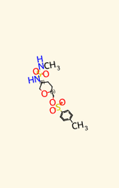 CNS(=O)(=O)N[C@@H]1CC[C@@H](COS(=O)(=O)c2ccc(C)cc2)OC1